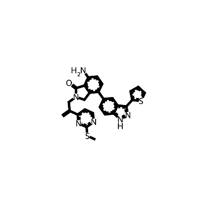 C=C(CN1Cc2c(-c3ccc4[nH]nc(-c5cccs5)c4c3)ccc(N)c2C1=O)c1ccnc(SC)n1